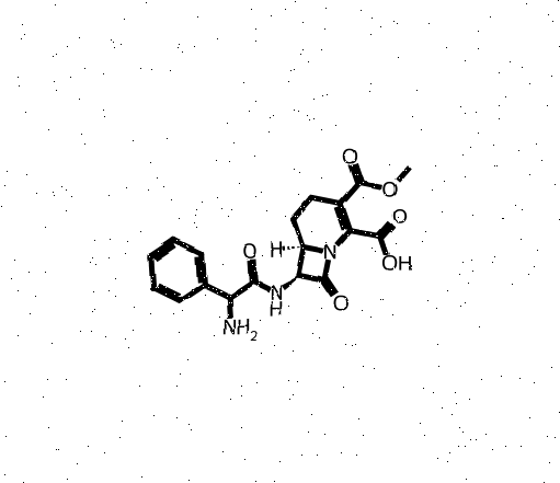 COC(=O)C1=C(C(=O)O)N2C(=O)[C@@H](NC(=O)C(N)c3ccccc3)[C@H]2CC1